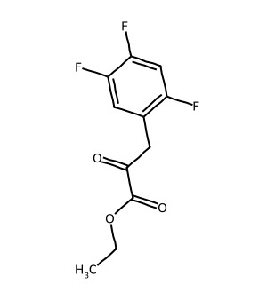 CCOC(=O)C(=O)Cc1cc(F)c(F)cc1F